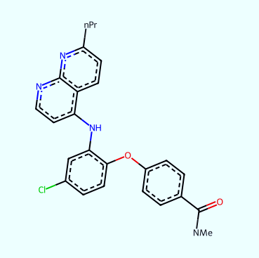 CCCc1ccc2c(Nc3cc(Cl)ccc3Oc3ccc(C(=O)NC)cc3)ccnc2n1